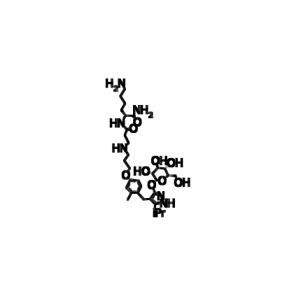 Cc1cc(OCCCNCCC(=O)N[C@@H](CCCCN)C(N)=O)ccc1Cc1c(O[C@@H]2O[C@H](CO)[C@@H](O)[C@H](O)[C@H]2O)n[nH]c1C(C)C